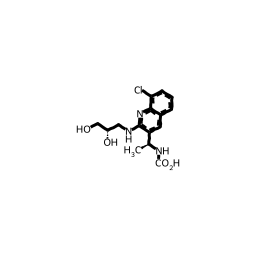 C[C@H](NC(=O)O)c1cc2cccc(Cl)c2nc1NC[C@H](O)CO